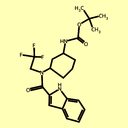 CC(C)(C)OC(=O)NC1CCCC(N(CC(F)(F)F)C(=O)c2cc3ccccc3[nH]2)C1